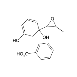 CC1OC1C1(O)C=CC=C(O)C1.O=C(O)c1ccccc1